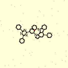 c1ccc(-c2nc(-c3ccccc3)nc(-c3cccc(-n4ccc5cc(-c6ccccc6)c6c7ccccc7n(-c7ccccc7)c6c54)c3)n2)cc1